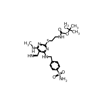 CNc1nc(SCCNC(=O)OC(C)(C)C)nc(NCc2ccc(S(N)(=O)=O)cc2)c1C=N